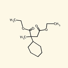 CCOC(=O)CC(C)(C(=O)OCC)C1CCCCC1